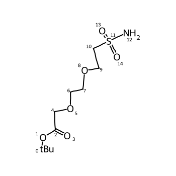 CC(C)(C)OC(=O)COCCOCCS(N)(=O)=O